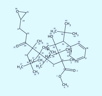 COC(=O)C(C)(CC(C)(C)C(C)(C)C(C)(CC(C)(C)C)C(=O)CCC1CO1)C(C)(C)C(C)(O)C(c1ccccc1)C(C)(C)C